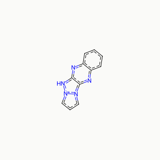 c1ccc2nc3c(nc2c1)[nH][n+]1cccn31